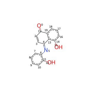 O=C1C=C/C(=N\c2ccccc2O)c2c(O)cccc21